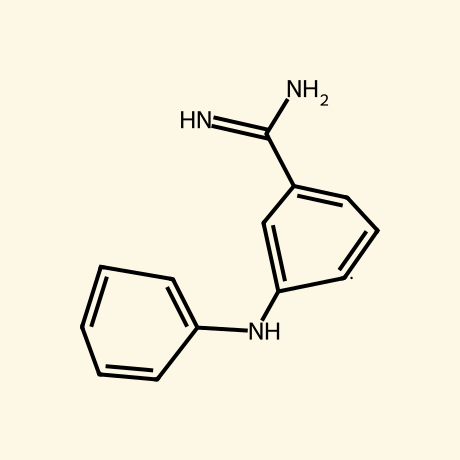 N=C(N)c1cc[c]c(Nc2ccccc2)c1